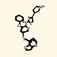 c1ccc(Oc2cc(Sc3ccnc4ccsc34)cnc2Nc2nc(C3CCNC3)cs2)cc1